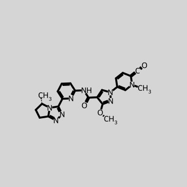 COc1nn(C2=CN(C)C(=C=O)C=C2)cc1C(=O)Nc1cccc(-c2nnc3n2[C@@H](C)CC3)n1